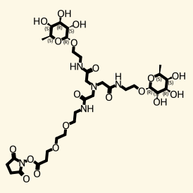 C[C@@H]1O[C@@H](OCCNC(=O)CN(CC(=O)NCCOCCOCCC(=O)ON2C(=O)CCC2=O)CC(=O)NCCO[C@@H]2O[C@@H](C)[C@@H](O)[C@@H](O)[C@@H]2O)[C@@H](O)[C@H](O)[C@@H]1O